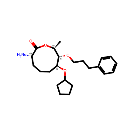 C[C@@H]1OC(=O)[C@@H](N)CCC[C@H](OC2CCCC2)[C@H]1OCCCc1ccccc1